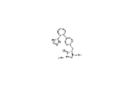 CCCCn1nc(C(C)(C)C)n(Cc2ccc(-c3ccccc3-c3nnn[nH]3)cc2)c1=O